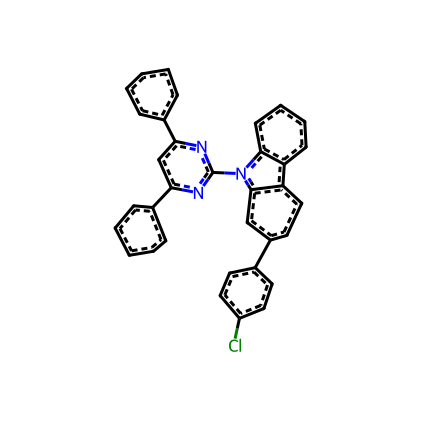 Clc1ccc(-c2ccc3c4ccccc4n(-c4nc(-c5ccccc5)cc(-c5ccccc5)n4)c3c2)cc1